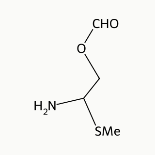 CSC(N)COC=O